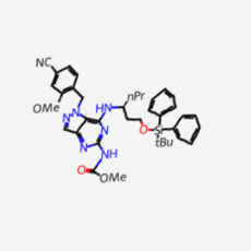 CCC[C@@H](CCO[Si](c1ccccc1)(c1ccccc1)C(C)(C)C)Nc1nc(NC(=O)OC)nc2cnn(Cc3ccc(C#N)cc3OC)c12